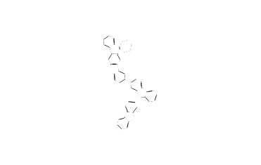 c1ccc2c(c1)-c1cc3sc4ccc(-c5ccc6c7ccccc7n(-c7ccc8c(c7)oc7ccccc78)c6c5)cc4c3cc1C21CCCCC1